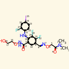 CN(C)C(=O)CO/N=C/c1cc(C(=O)NOCCO)c(Nc2ccc(I)cc2F)c(F)c1F